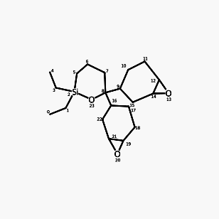 CC[Si]1(CC)CCCC(C2CCC3OC3C2)(C2CCC3OC3C2)O1